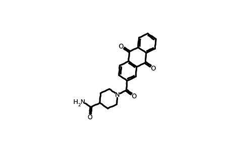 NC(=O)C1CCN(C(=O)c2ccc3c(c2)C(=O)c2ccccc2C3=O)CC1